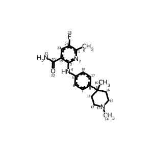 Cc1nc(Nc2ccc(C3(C)CCN(C)CC3)cc2)c(C(N)=O)cc1F